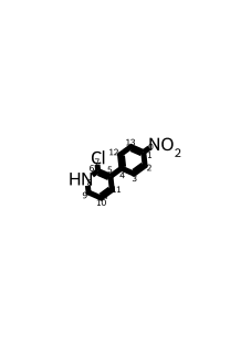 O=[N+]([O-])c1ccc(C2=C(Cl)NC[C]=C2)cc1